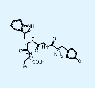 CC(C)C[C@H](NC(=O)[C@H](Cc1c[nH]c2ccccc12)NC(=O)CNC(=O)[C@@H](N)Cc1ccc(O)cc1)C(=O)O